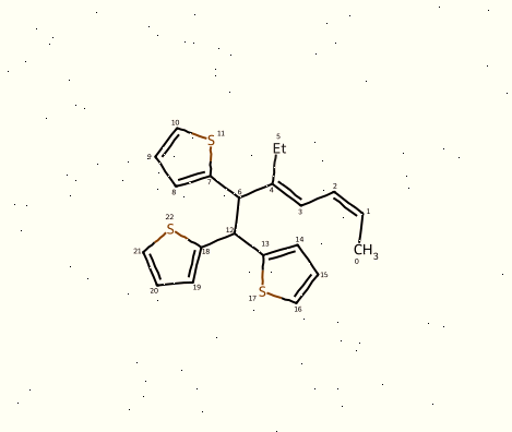 C/C=C\C=C(/CC)C(c1cccs1)C(c1cccs1)c1cccs1